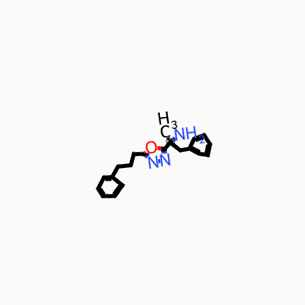 C[C@@](N)(Cc1ccccc1)c1nnc(CCCc2ccccc2)o1